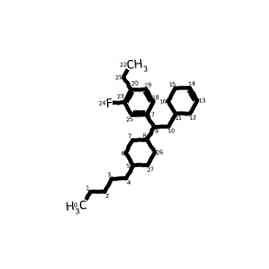 CCCCCC1CCC(C(CC2CC=CCC2)c2ccc(CC)c(F)c2)CC1